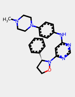 CN1CCN(c2ccc(Nc3cc(N4OCC[C@@H]4c4ccccc4)ncn3)cc2)CC1